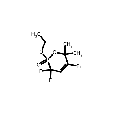 CCOP1(=O)OC(C)(C)C(Br)=CC1(F)F